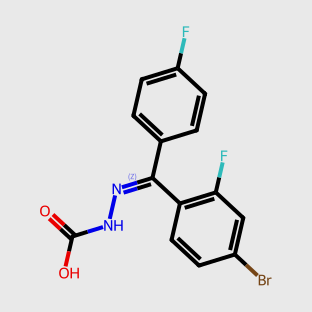 O=C(O)N/N=C(/c1ccc(F)cc1)c1ccc(Br)cc1F